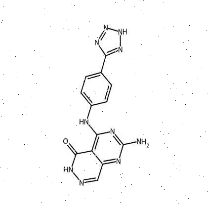 Nc1nc(Nc2ccc(-c3nn[nH]n3)cc2)c2c(=O)[nH]ncc2n1